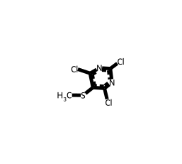 CSc1c(Cl)nc(Cl)nc1Cl